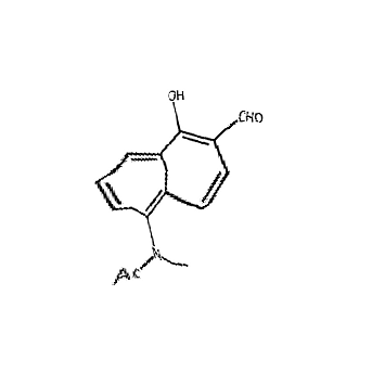 CC(=O)N(C)c1cccc2c(O)c(C=O)ccc12